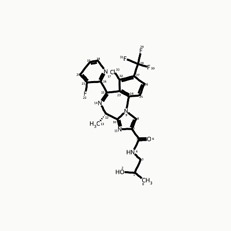 CC(O)CNC(=O)c1cn2c(n1)[C@H](C)N=C(c1ncccc1F)c1c-2ccc(C(F)(F)F)c1Cl